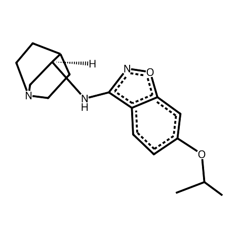 CC(C)Oc1ccc2c(N[C@H]3CN4CCC3CC4)noc2c1